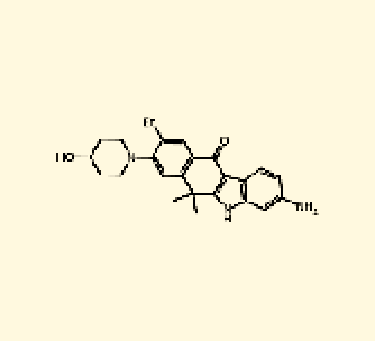 CCc1cc2c(cc1N1CCC(O)CC1)C(C)(C)c1[nH]c3cc(N)ccc3c1C2=O